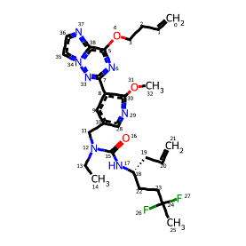 C=CCCOc1nc(-c2cc(CN(CC)C(=O)N[C@H](CC=C)CCC(C)(F)F)cnc2OC)nn2ccnc12